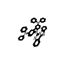 c1ccc(N(c2ccccc2)c2ccc3c(c2)c2cc(N(c4ccccc4)c4ccccc4)ccc2n3-c2nc3ccccc3c3nc4ccccc4n23)cc1